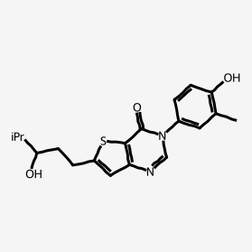 Cc1cc(-n2cnc3cc(CCC(O)C(C)C)sc3c2=O)ccc1O